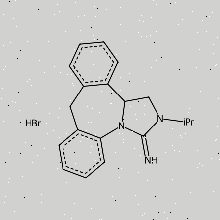 Br.CC(C)N1CC2c3ccccc3Cc3ccccc3N2C1=N